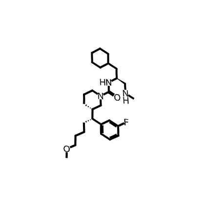 CNC[C@H](CC1CCCCC1)NC(=O)N1CCC[C@@H]([C@@H](CCCCOC)c2cccc(F)c2)C1